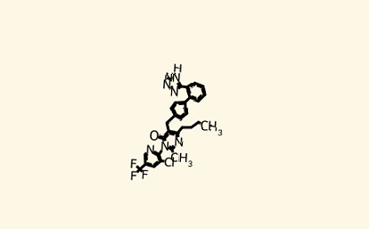 CCCCc1nc(C)n(-c2ncc(C(F)(F)F)cc2Cl)c(=O)c1Cc1ccc(-c2ccccc2-c2nnn[nH]2)cc1